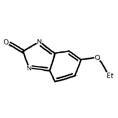 CCOc1[c]cc2c(c1)=NC(=O)N=2